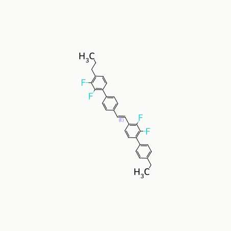 CCCc1ccc(-c2ccc(/C=C/c3ccc(-c4ccc(CC)cc4)c(F)c3F)cc2)c(F)c1F